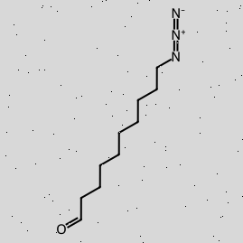 [N-]=[N+]=NCCCCCCCCCC=O